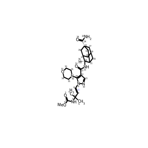 COC(=O)NC(C)(C)/C=C/n1ncc(C(=O)N[C@H]2C3CC4CC2C[C@](C(N)=O)(C4)C3)c1N1CCOCC1